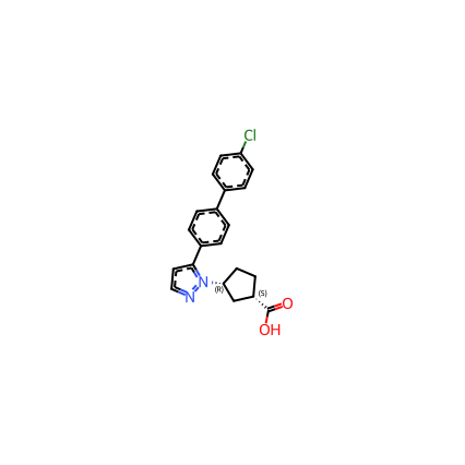 O=C(O)[C@H]1CC[C@@H](n2nccc2-c2ccc(-c3ccc(Cl)cc3)cc2)C1